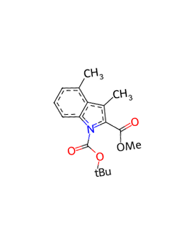 COC(=O)c1c(C)c2c(C)cccc2n1C(=O)OC(C)(C)C